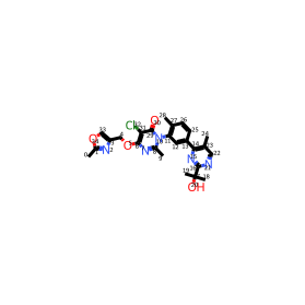 Cc1nc(COc2nc(C)n(-c3cc(-c4nc(C(C)(C)O)ncc4C)ccc3C)c(=O)c2Cl)co1